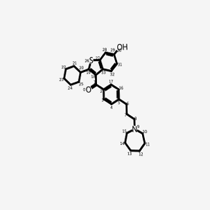 O=C(c1ccc(CCCN2CCCCCC2)cc1)c1c(C2CCCCC2)sc2cc(O)ccc12